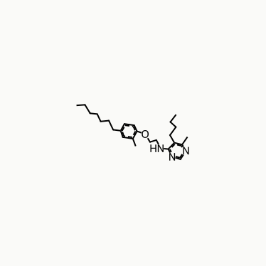 CCCCCCCc1ccc(OCCNc2ncnc(C)c2CCCC)c(C)c1